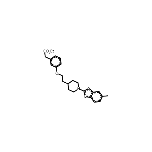 CCOC(=O)Cc1cccc(OCCC2CCN(c3nc4ccc(C)cc4s3)CC2)c1